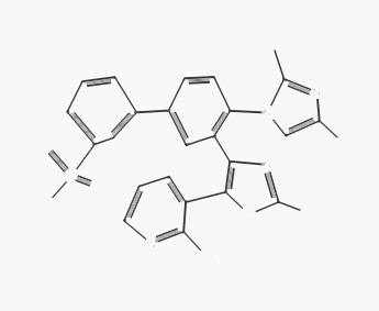 Cc1cn(-c2ccc(-c3cccc(S(C)(=O)=O)c3)cc2-c2nc(C)oc2-c2cccnc2Cl)c(C)n1